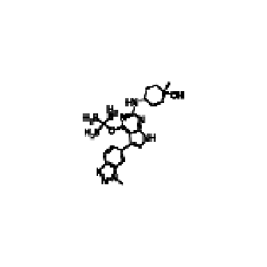 BC(B)(B)Oc1nc(N[C@H]2CC[C@@](C)(O)CC2)nc2[nH]cc(-c3ccc4nnn(C)c4c3)c12